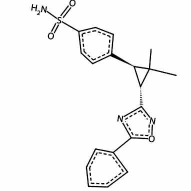 CC1(C)[C@H](c2ccc(S(N)(=O)=O)cc2)[C@H]1c1noc(-c2ccccc2)n1